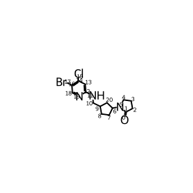 O=C1CCCN1C1CCC(CNc2cc(Cl)c(Br)cn2)C1